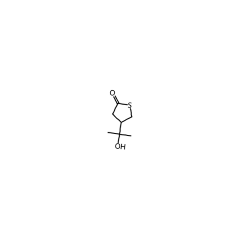 CC(C)(O)C1CSC(=O)C1